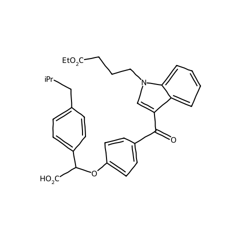 CCOC(=O)CCCn1cc(C(=O)c2ccc(OC(C(=O)O)c3ccc(CC(C)C)cc3)cc2)c2ccccc21